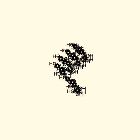 O=c1c(-c2ccc(O)cc2)coc2cc(O)cc(O)c12.O=c1c(-c2ccc(O)cc2)coc2cc(OC3O[C@H](CO)[C@@H](O)[C@H](O)[C@H]3O)ccc12.O=c1c(-c2ccc(O)cc2)coc2cc(O[C@@H]3O[C@H](CO)[C@@H](O)[C@H](O)[C@H]3O)cc(O)c12.O=c1c(-c2ccc(O)cc2)coc2cc(O[C@@H]3O[C@H](CO)[C@@H](O)[C@H](O)[C@H]3O)cc(O)c12.O=c1c(-c2ccc(O)cc2)coc2cc(O[C@@H]3O[C@H](CO)[C@@H](O)[C@H](O)[C@H]3O)cc(O)c12